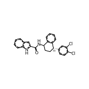 O=C(NC1CC[C@@H](c2ccc(Cl)c(Cl)c2)c2ccccc21)c1cc2ccccc2[nH]1